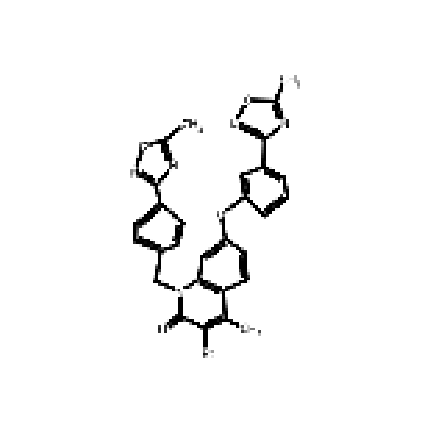 CCc1c(C)c2ccc(Oc3cccc(-c4noc(C)n4)c3)cc2n(Cc2ccc(-c3noc(C)n3)cc2)c1=O